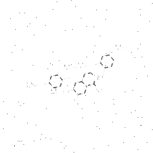 COc1ccc(Cc2c(OC)c([N+](=O)[O-])cc3c(=O)n(Cc4ccc(OC)cc4OC)ccc23)c(OC)c1